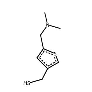 CN(C)Cc1cc(CS)cs1